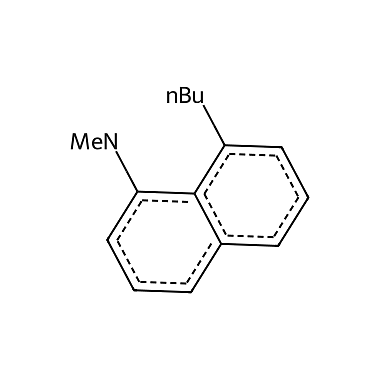 CCCCc1cccc2cccc(NC)c12